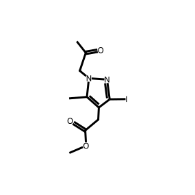 COC(=O)Cc1c(I)nn(CC(C)=O)c1C